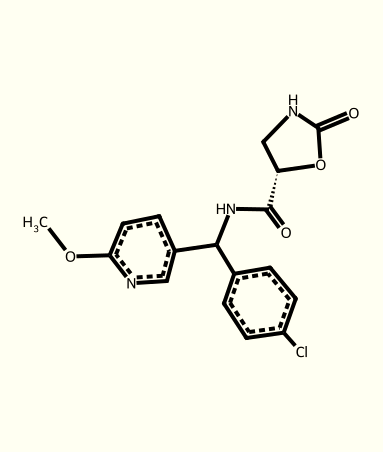 COc1ccc(C(NC(=O)[C@@H]2CNC(=O)O2)c2ccc(Cl)cc2)cn1